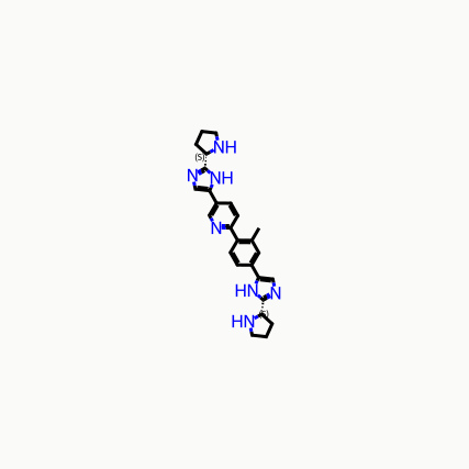 Cc1cc(-c2cnc([C@@H]3CCCN3)[nH]2)ccc1-c1ccc(-c2cnc([C@@H]3CCCN3)[nH]2)cn1